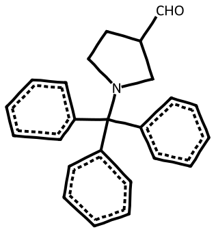 O=CC1CCN(C(c2ccccc2)(c2ccccc2)c2ccccc2)C1